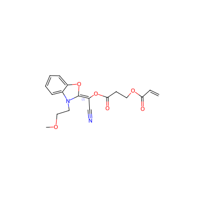 C=CC(=O)OCCC(=O)O/C(C#N)=C1\Oc2ccccc2N1CCOC